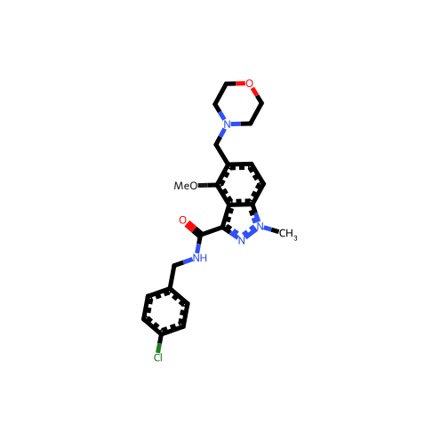 COc1c(CN2CCOCC2)ccc2c1c(C(=O)NCc1ccc(Cl)cc1)nn2C